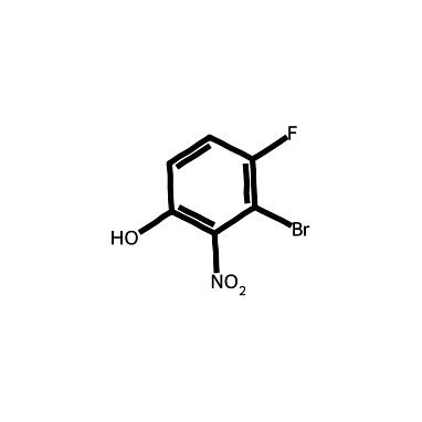 O=[N+]([O-])c1c(O)ccc(F)c1Br